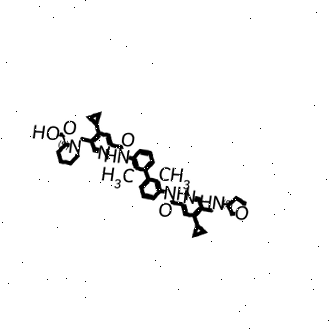 Cc1c(NC(=O)c2cc(C3CC3)c(CN[C@H]3CCOC3)cn2)cccc1-c1cccc(NC(=O)c2cc(C3CC3)c(CN3CCCC[C@H]3C(=O)O)cn2)c1C